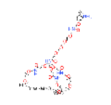 CCC(C)(CCOC)OCCC(C)(C)OCCNC(=O)CCOCC(COCCC(=O)NCCOC(C)(C)CCOC(C)(C)CCOC)(COCCC(=O)NCCOC(C)(C)CCOC(C)(C)CCOC)NC(=O)CCOCCOCCOCCOCCNC(=O)COc1ccc(C(C)=O)c(N)c1